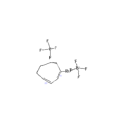 F[B-](F)(F)F.F[B-](F)(F)F.[Rh+2]/[C]1=C/C=C\CCCC1